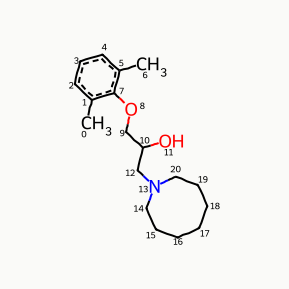 Cc1cccc(C)c1OCC(O)CN1CCCCCCC1